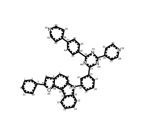 c1ccc(-c2cc3ccc4c(c5ccccc5n4-c4cccc(-c5nc(-c6ccncc6)nc(-c6ccc(-c7ccncc7)cc6)n5)c4)c3o2)cc1